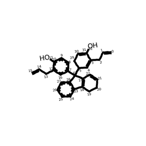 C=CCC1=CC(C2(c3ccc(O)c(CC=C)c3)C3=C(CCC=C3)c3ccccc32)CC=C1O